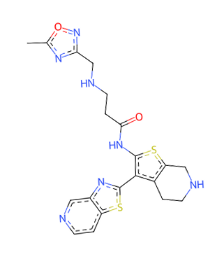 Cc1nc(CNCCC(=O)Nc2sc3c(c2-c2nc4cnccc4s2)CCNC3)no1